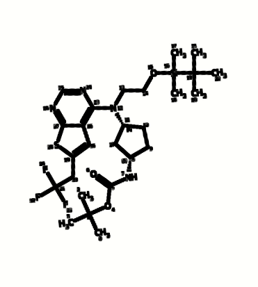 CC(C)(C)OC(=O)N[C@H]1CC[C@@H](N(CCO[Si](C)(C)C(C)(C)C)c2ncnc3sc(CC(F)(F)F)cc23)C1